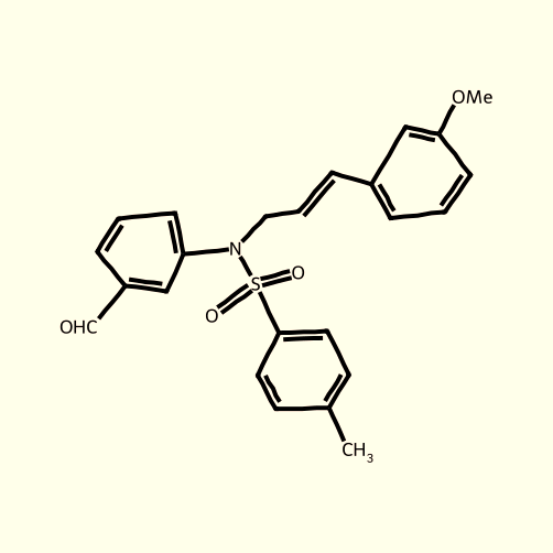 COc1cccc(/C=C/CN(c2cccc(C=O)c2)S(=O)(=O)c2ccc(C)cc2)c1